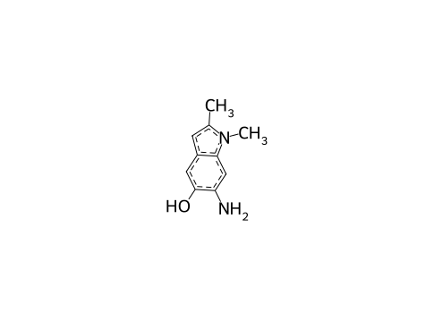 Cc1cc2cc(O)c(N)cc2n1C